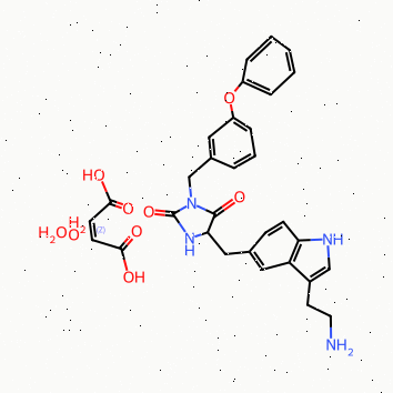 NCCc1c[nH]c2ccc(CC3NC(=O)N(Cc4cccc(Oc5ccccc5)c4)C3=O)cc12.O.O.O=C(O)/C=C\C(=O)O